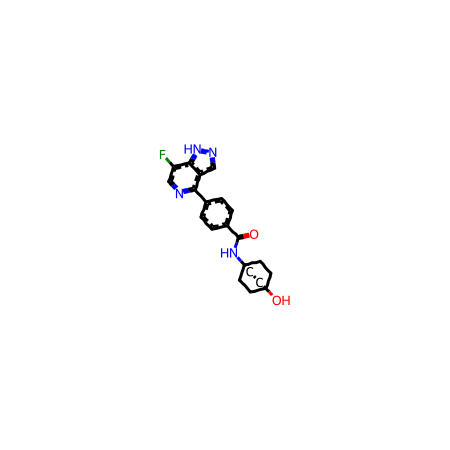 O=C(NC12CCC(O)(CC1)CC2)c1ccc(-c2ncc(F)c3[nH]ncc23)cc1